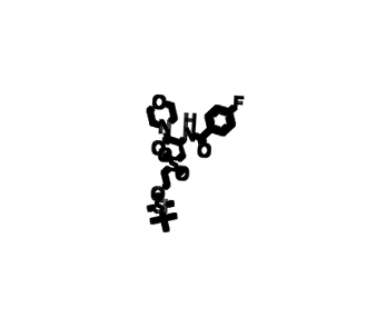 CC(C)(C)[Si](C)(C)OCCS(=O)(=O)C[C@H](NC(=O)c1ccc(F)cc1)C(=O)N1CCOCC1